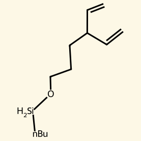 C=CC(C=C)CCCO[SiH2]CCCC